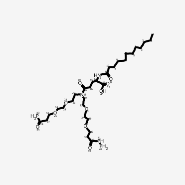 CCCCCCCCCCCC(=O)NC(CCC(=O)N(CCOCCOCCC(=O)P)CCOCCOCCC(=O)PP)C(=O)O